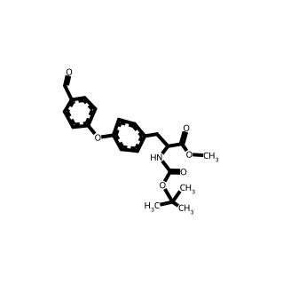 COC(=O)C(Cc1ccc(Oc2ccc(C=O)cc2)cc1)NC(=O)OC(C)(C)C